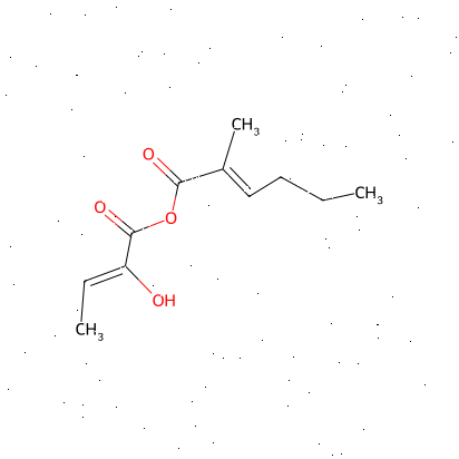 CC=C(O)C(=O)OC(=O)C(C)=CCCC